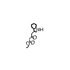 CCOC(=O)CC(=O)Cc1c[nH]c2ccccc12